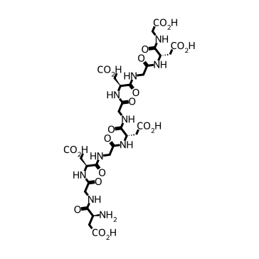 N[C@@H](CC(=O)O)C(=O)NCC(=O)N[C@@H](CC(=O)O)C(=O)NCC(=O)N[C@@H](CC(=O)O)C(=O)NCC(=O)N[C@@H](CC(=O)O)C(=O)NCC(=O)N[C@@H](CC(=O)O)C(=O)NCC(=O)O